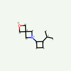 CC(C)C1CCC1N1CC2(COC2)C1